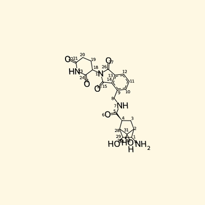 NC1C2C[C@H](C(=O)NCc3cccc4c3C(=O)N(C3CCC(=O)NC3=O)C4=O)C([C@@H]1O)[C@H]2O